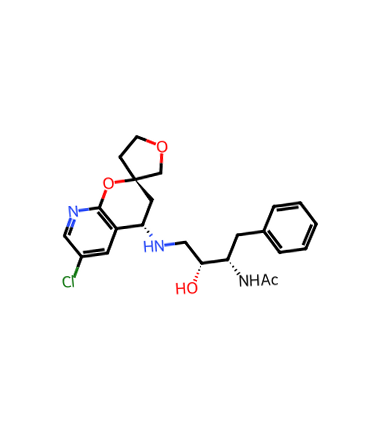 CC(=O)N[C@@H](Cc1ccccc1)[C@H](O)CN[C@H]1C[C@]2(CCOC2)Oc2ncc(Cl)cc21